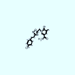 Cc1cc(C(N)=O)cn(Cc2nc(CCc3ccc(Cl)cc3)no2)c1=O